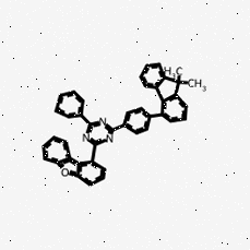 CC1(C)c2ccccc2-c2c(-c3ccc(-c4nc(-c5ccccc5)nc(-c5cccc6oc7ccccc7c56)n4)cc3)cccc21